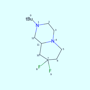 CC(C)(C)N1CCN2CCC(F)(F)CC2C1